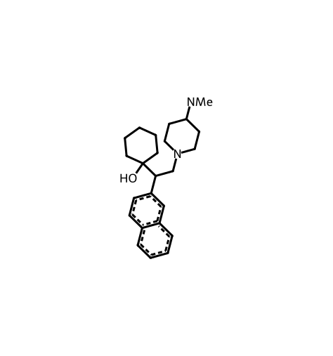 CNC1CCN(CC(c2ccc3ccccc3c2)C2(O)CCCCC2)CC1